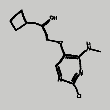 CNc1nc(Cl)ncc1OCC(O)C1CCC1